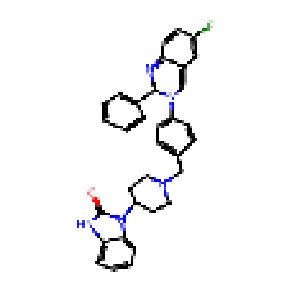 O=c1[nH]c2ccccc2n1C1CCN(Cc2ccc(N3C=c4cc(F)ccc4=NC3c3ccccc3)cc2)CC1